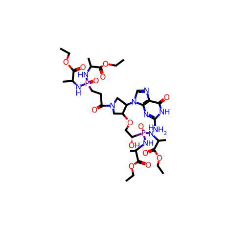 CCOC(=O)C(C)NP(=O)(CCC(=O)N1CC(OC[C@@H](O)P(=O)(NC(C)C(=O)OCC)NC(C)C(=O)OCC)C(n2cnc3c(=O)[nH]c(N)nc32)C1)NC(C)C(=O)OCC